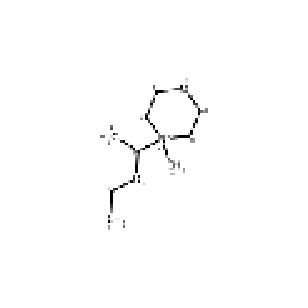 CCOC(C)[N+]1(C)CCOCC1